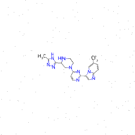 Cc1nnc(C2CN(c3ccnc(-c4cnc5ccc(C(F)(F)F)cn45)n3)CCN2)[nH]1